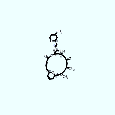 C=C1CC(=O)C[C@H]2C[C@H](OC(=O)/C=C\C[C@@H]3C=CC[C@@H](C[C@@H](C)C1)O3)[C@H](/C=C/[C@@H]1CC(C)=CCO1)O2